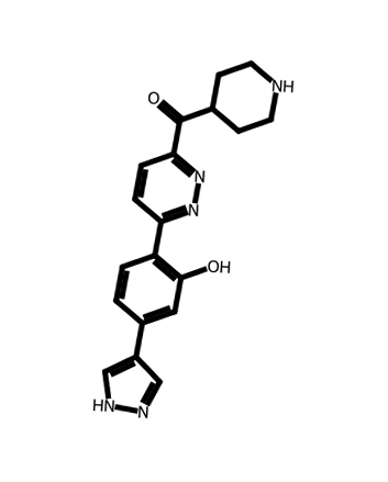 O=C(c1ccc(-c2ccc(-c3cn[nH]c3)cc2O)nn1)C1CCNCC1